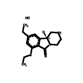 CCSc1cc(CC)cc2c1C(=O)N1CCNC[C@H]21.Cl